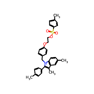 Cc1ccc(-c2c(C)c3cc(C)ccc3n2Cc2ccc(OCCOS(=O)(=O)c3ccc(C)cc3)cc2)cc1